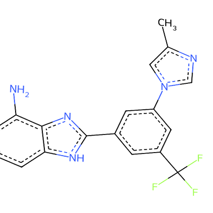 Cc1cn(-c2cc(-c3nc4c(N)cccc4[nH]3)cc(C(F)(F)F)c2)cn1